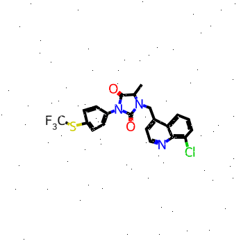 CC1C(=O)N(c2ccc(SC(F)(F)F)cc2)C(=O)N1Cc1ccnc2c(Cl)cccc12